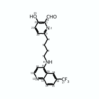 O=Cc1nc(CCCCNc2ccnc3ccc(C(F)(F)F)cc23)ccc1O